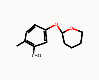 Cc1ccc(OC2CCCCO2)cc1C=O